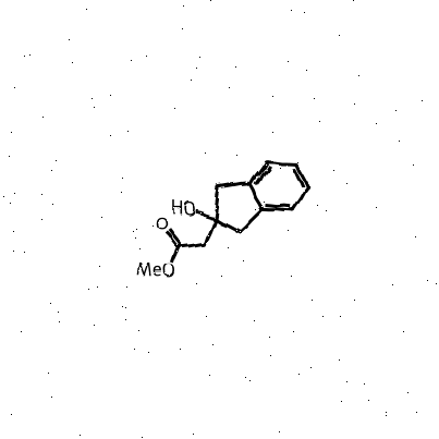 COC(=O)CC1(O)Cc2ccccc2C1